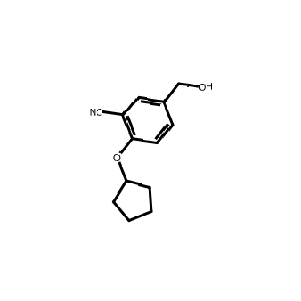 N#Cc1cc(CO)ccc1OC1CCCC1